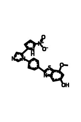 COc1cc(O)cc2nc(-c3ccc(-n4cncc4-c4ccc([N+](=O)[O-])[nH]4)cc3)sc12